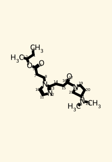 CCC(C)OC(=O)CCn1ccnc1CCC(=O)N1CC[C@H](N(C)C)C1